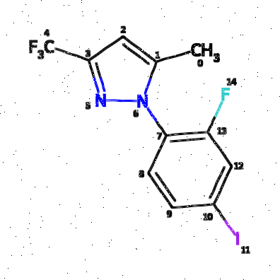 Cc1cc(C(F)(F)F)nn1-c1ccc(I)cc1F